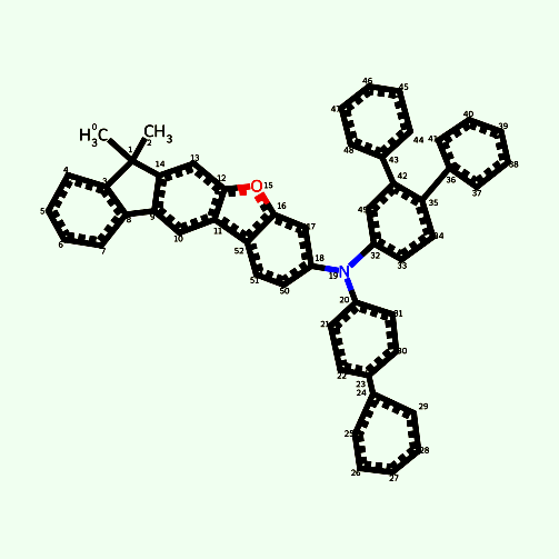 CC1(C)c2ccccc2-c2cc3c(cc21)oc1cc(N(c2ccc(-c4ccccc4)cc2)c2ccc(-c4ccccc4)c(-c4ccccc4)c2)ccc13